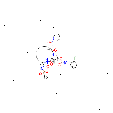 O=C1NC2(C(=O)NS(=O)(=O)C3CC3)CC2C=CCCCCC[C@H](CC(=O)N2CCCCC2)C(=O)N2C[C@H](OC(=O)N3Cc4cccc(F)c4C3)C[C@@H]12